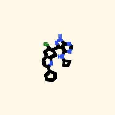 Clc1cc2ccc(-c3ccccc3)nc2cc1-c1n[nH]c2ncnc(NC3CCC3)c12